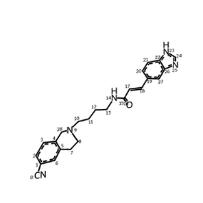 N#Cc1ccc2c(c1)CCN(CCCCNC(=O)/C=C/c1ccc3[nH]cnc3c1)C2